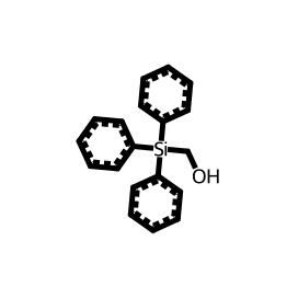 OC[Si](c1ccccc1)(c1ccccc1)c1ccccc1